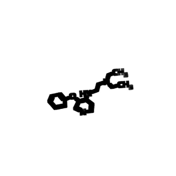 CCN(CC)CCNc1ccncc1Oc1ccccc1